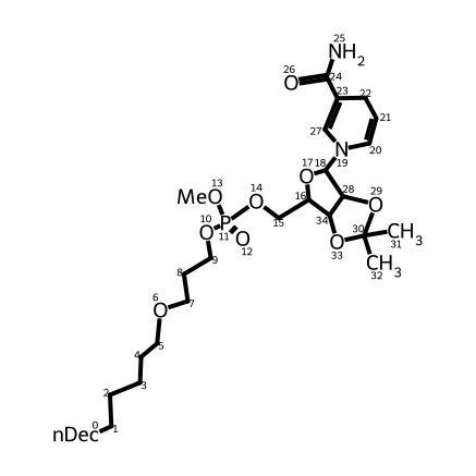 CCCCCCCCCCCCCCCOCCCOP(=O)(OC)OCC1OC(N2C=CCC(C(N)=O)=C2)C2OC(C)(C)OC12